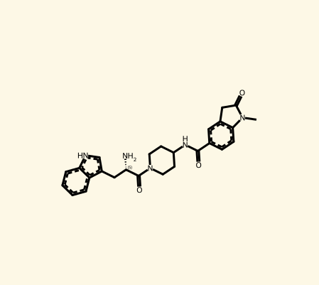 CN1C(=O)Cc2cc(C(=O)NC3CCN(C(=O)[C@@H](N)Cc4c[nH]c5ccccc45)CC3)ccc21